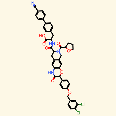 N#Cc1ccc(-c2ccc(CC(NC(=O)C3Cc4cc5c(cc4CN3C(=O)C3CCCO3)OC(c3ccc(OCc4ccc(Cl)c(Cl)c4)cc3)C(=O)N5)C(=O)O)cc2)cc1